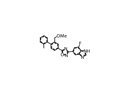 COCc1cc(-c2nc(-c3cc(F)c4[nH]cnc4c3)no2)ccc1-c1ccccc1C